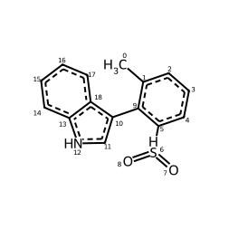 Cc1cccc([SH](=O)=O)c1-c1c[nH]c2ccccc12